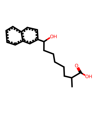 CC(CCCCCC(O)c1ccc2ccccc2c1)C(=O)O